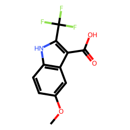 COc1ccc2[nH]c(C(F)(F)F)c(C(=O)O)c2c1